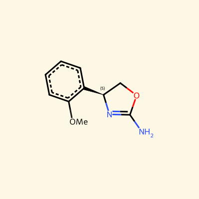 COc1ccccc1[C@H]1COC(N)=N1